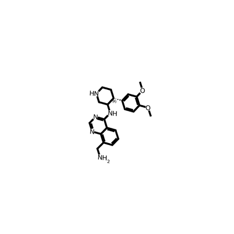 COc1ccc([C@H]2CCNCC2Nc2ncnc3c(CN)cccc23)cc1OC